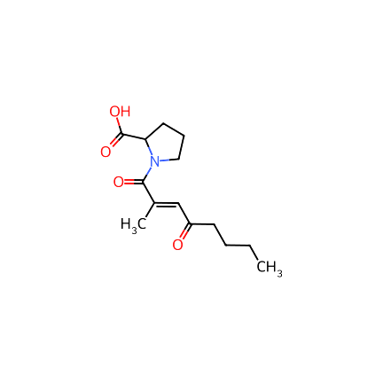 CCCCC(=O)C=C(C)C(=O)N1CCCC1C(=O)O